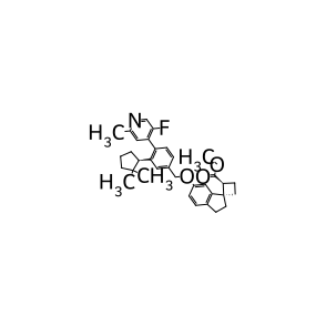 COC(=O)[C@H]1CC[C@@]12CCc1ccc(OCc3ccc(-c4cc(C)ncc4F)c([C@@H]4CCCC4(C)C)c3)cc12